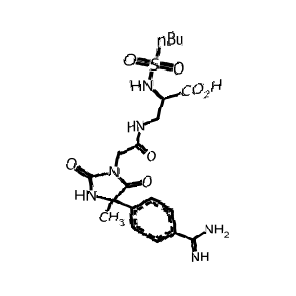 CCCCS(=O)(=O)NC(CNC(=O)CN1C(=O)NC(C)(c2ccc(C(=N)N)cc2)C1=O)C(=O)O